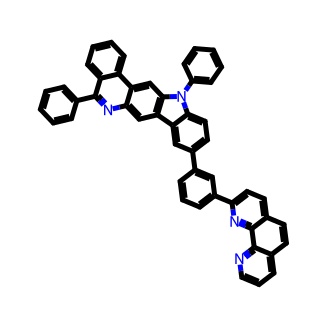 c1ccc(-c2nc3cc4c5cc(-c6cccc(-c7ccc8ccc9cccnc9c8n7)c6)ccc5n(-c5ccccc5)c4cc3c3ccccc23)cc1